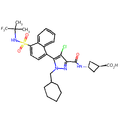 CC(C)(NS(=O)(=O)c1ccc(-c2c(Cl)c(C(=O)N[C@H]3C[C@H](C(=O)O)C3)nn2CC2CCCCC2)c2ccccc12)C(F)(F)F